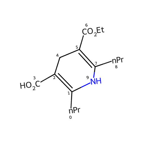 CCCC1=C(C(=O)O)CC(C(=O)OCC)=C(CCC)N1